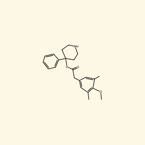 COc1c(C)cc(CC(=O)OC2(c3ccccc3)CCNCC2)cc1C